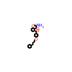 Nc1[c]oc2cccc(C(=O)c3ccc(OCCCCc4ccccc4)cc3)c2c1=O